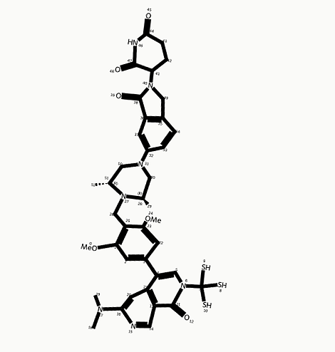 COc1cc(-c2cn(C(S)(S)S)c(=O)c3cnc(N(C)C)cc23)cc(OC)c1CN1[C@H](C)CN(c2ccc3c(c2)C(=O)N(C2CCC(=O)NC2=O)C3)C[C@H]1C